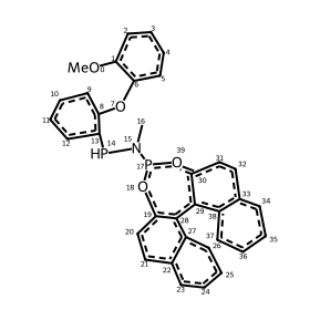 COc1ccccc1Oc1ccccc1PN(C)p1oc2ccc3ccccc3c2c2c(ccc3ccccc32)o1